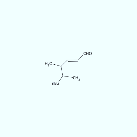 CCCCC(C)C(C)/C=C/C=O